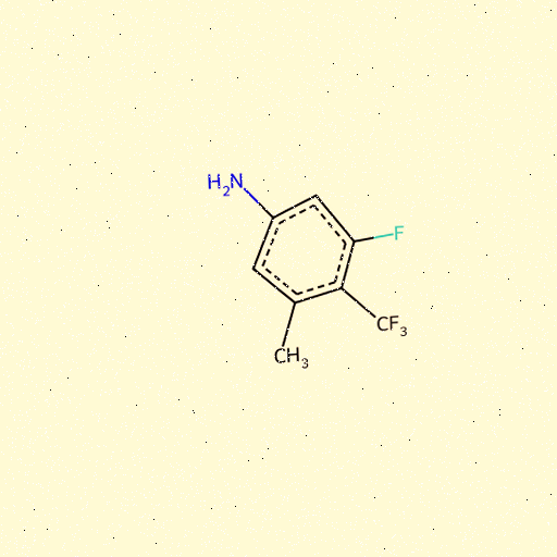 Cc1cc(N)cc(F)c1C(F)(F)F